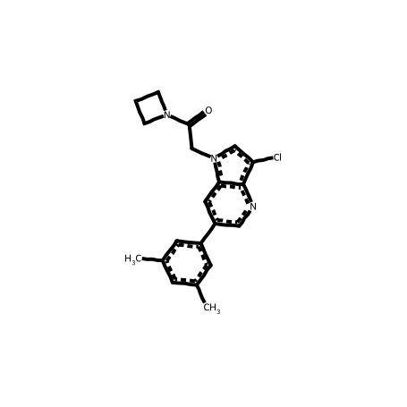 Cc1cc(C)cc(-c2cnc3c(Cl)cn(CC(=O)N4CCC4)c3c2)c1